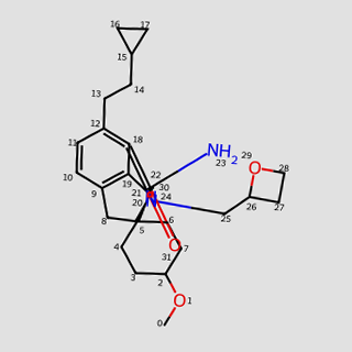 COC1CCC2(CC1)Cc1ccc(CCC3CC3)cc1[C@]21N=C(N)N(CC2CCO2)C1=O